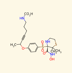 CC(C#CCCCNC(=O)O)Oc1ccc(S(=O)(=O)[C@]2(C(=O)NO)NCCSC2(C)C)cc1